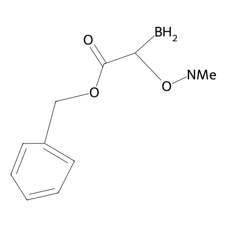 BC(ONC)C(=O)OCc1ccccc1